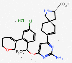 Cl.Nc1nc(OC(c2ccc(Cl)cc2C2=CCCOC2)C(F)(F)F)cc(C2=CC[C@@]3(CC2)CN[C@H](C(=O)O)C3)n1